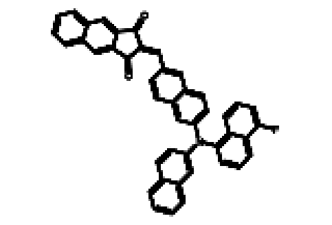 O=C1C(=Cc2ccc3cc(N(c4ccc5ccccc5c4)c4cccc5c(F)cccc45)ccc3c2)C(=O)c2cc3ccccc3cc21